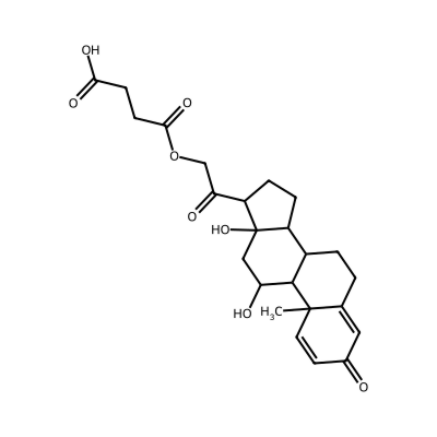 CC12C=CC(=O)C=C1CCC1C2C(O)CC2(O)C(C(=O)COC(=O)CCC(=O)O)CCC12